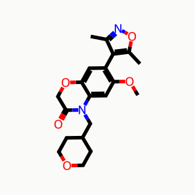 COc1cc2c(cc1-c1c(C)noc1C)OCC(=O)N2CC1CCOCC1